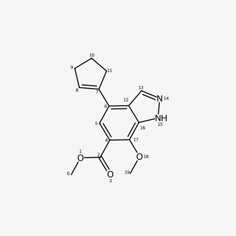 COC(=O)c1cc(C2=CCCC2)c2cn[nH]c2c1OC